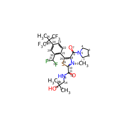 C[C@H]1CCCN1C(=O)c1nc(C(=O)NCC(C)(C)O)sc1-c1ccc(C(C)(C(F)(F)F)C(F)(F)F)cc1C(F)F